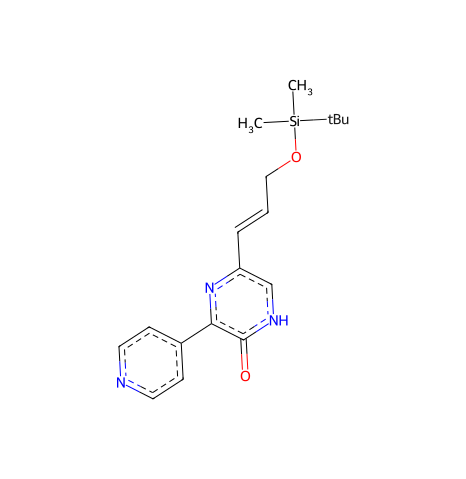 CC(C)(C)[Si](C)(C)OCC=Cc1c[nH]c(=O)c(-c2ccncc2)n1